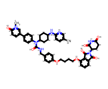 Cn1cc(-c2ccc(N(C(=O)NCc3ccc(OCCCCOc4cccc5c4C(=O)N(C4CCC(=O)NC4=O)C5=O)cc3)C3CCC(Nc4ccc(C#N)cn4)CC3)cc2)ccc1=O